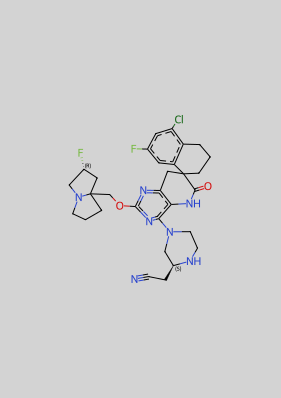 N#CC[C@H]1CN(c2nc(OCC34CCCN3C[C@H](F)C4)nc3c2NC(=O)C2(CCCc4c(Cl)cc(F)cc42)C3)CCN1